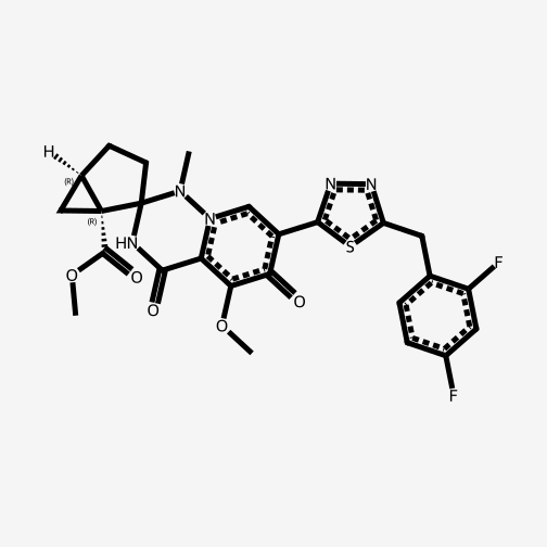 COC(=O)[C@]12C[C@H]1CCC21NC(=O)c2c(OC)c(=O)c(-c3nnc(Cc4ccc(F)cc4F)s3)cn2N1C